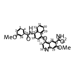 COc1cccc(C(=O)Nc2ccc(Oc3ccnc4cc(OC)c(C(N)=O)cc34)c3ccccc23)c1